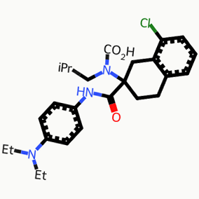 CCN(CC)c1ccc(NC(=O)C2(N(CC(C)C)C(=O)O)CCc3cccc(Cl)c3C2)cc1